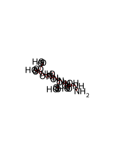 COc1cc(N=Nc2cc(OCCCCS(=O)(=O)O)c(N=Nc3cc(OC)c(N=Nc4c(S(=O)(=O)O)cc5cc(Nc6ccc(N)cc6)ccc5c4O)cc3C)cc2C)c(OC)cc1N=Nc1ccc(C(=O)Nc2ccc3cc(S(=O)(=O)O)cc(OCCCCS(=O)(=O)O)c3c2)cc1C